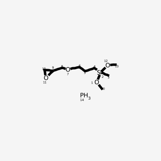 CO[Si](C)(CCCOCC1CO1)OC.P